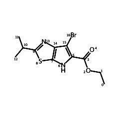 CCOC(=O)c1[nH]c2sc(C(C)C)nc2c1Br